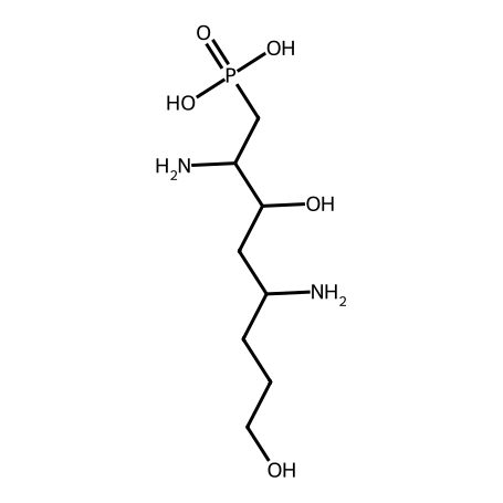 NC(CCCO)CC(O)C(N)CP(=O)(O)O